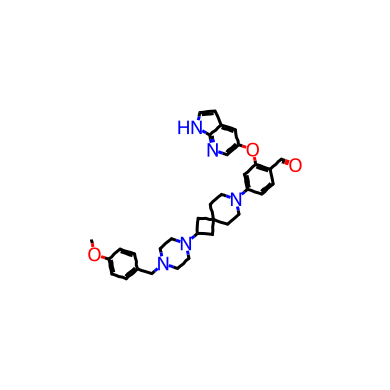 COc1ccc(CN2CCN(C3CC4(CCN(c5ccc(C=O)c(Oc6cnc7[nH]ccc7c6)c5)CC4)C3)CC2)cc1